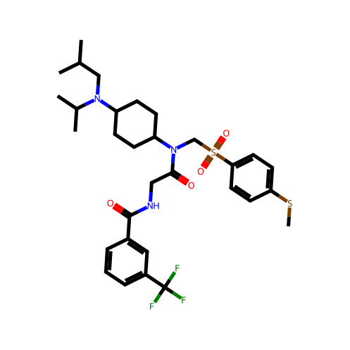 CSc1ccc(S(=O)(=O)CN(C(=O)CNC(=O)c2cccc(C(F)(F)F)c2)C2CCC(N(CC(C)C)C(C)C)CC2)cc1